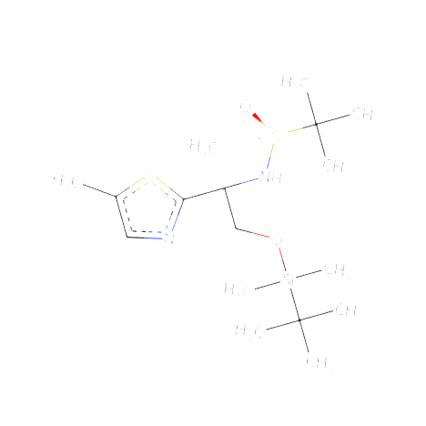 Cc1cnc([C@](C)(CO[Si](C)(C)C(C)(C)C)N[S@@+]([O-])C(C)(C)C)s1